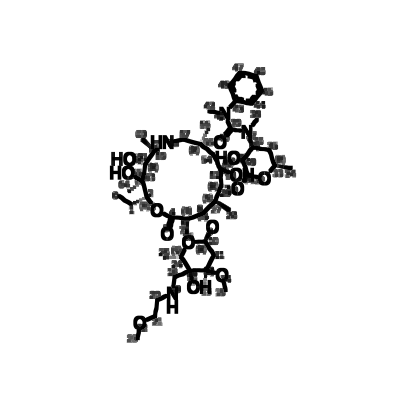 CC[C@H]1OC(=O)[C@H](C)[C@@H](O[C@H]2C[C@@](C)(OC)[C@](O)(CNCCOC)[C@H](C)O2)[C@H](C)[C@@H](O[C@@H]2O[C@H](C)C[C@H](N(C)C(=O)N(C)c3ccccc3)[C@H]2O)[C@](C)(O)C[C@@H](C)CN[C@H](C)[C@@H](O)[C@]1(C)O